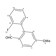 COc1ccc(C=O)c(-c2ccccc2F)c1